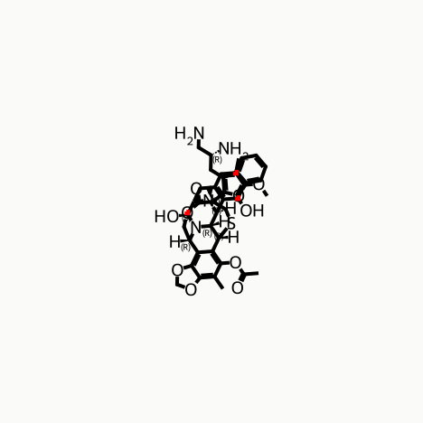 COc1c(C)cc2c(c1O)[C@H]1[C@@H]3[C@@H]4SC[C@@](C)(c5oc6ccccc6c5C[C@@H](N)CN)C(=O)OC[C@@H](c5c6c(c(C)c(OC(C)=O)c54)OCO6)N3[C@@H](O)C(C2)N1C